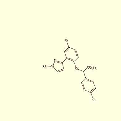 CCOC(=O)C(Oc1ccc(Br)cc1-c1ccn(CC)n1)c1ccc(Cl)cc1